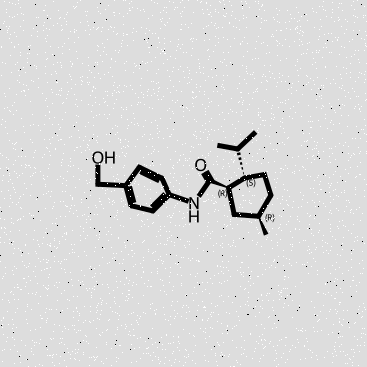 CC(C)[C@@H]1CC[C@@H](C)C[C@H]1C(=O)Nc1ccc(CO)cc1